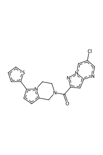 O=C(c1cc2ncc(Cl)cn2n1)N1CCn2c(ccc2-c2cccs2)C1